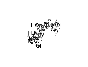 COC(=O)c1cnn(C)c1/N=N/c1cn(-c2nc(O)cc(-n3nc(C)c(/N=N/c4c(C(=O)CO)cnn4C)c3N)n2)nc1C